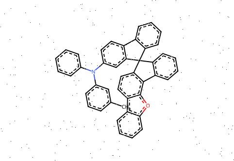 Cc1cccc(N(c2ccccc2)c2ccc3c(c2)C2(c4ccccc4-3)c3ccccc3-c3c2ccc2c3oc3ccccc32)c1